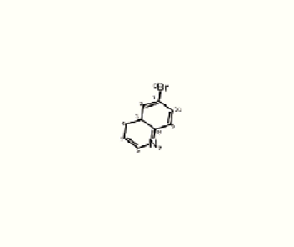 BrC1=CC2CC=CN=C2C=C1